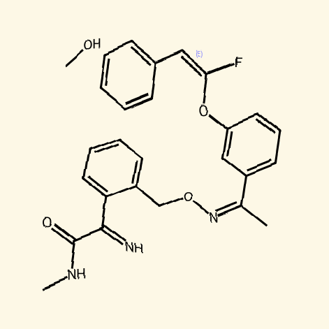 CNC(=O)C(=N)c1ccccc1CON=C(C)c1cccc(O/C(F)=C\c2ccccc2)c1.CO